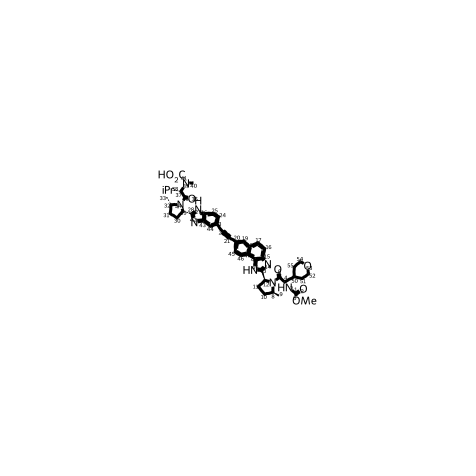 COC(=O)NC(C(=O)N1[C@@H](C)CC[C@H]1c1nc2ccc3cc(C#Cc4ccc5[nH]c([C@@H]6CC[C@H](C)N6C(=O)[C@H](C(C)C)N(C)C(=O)O)nc5c4)ccc3c2[nH]1)C1CCOCC1